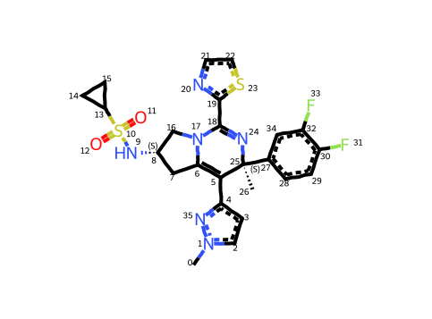 Cn1ccc(C2=C3C[C@H](NS(=O)(=O)C4CC4)CN3C(c3nccs3)=N[C@@]2(C)c2ccc(F)c(F)c2)n1